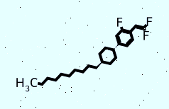 CCCCCCCCCC[C@H]1CC[C@H](c2ccc(C=C(F)F)c(F)c2)CC1